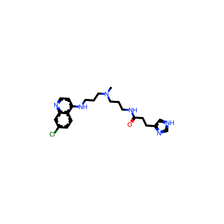 CN(CCCNC(=O)CCc1c[nH]cn1)CCCNc1ccnc2cc(Cl)ccc12